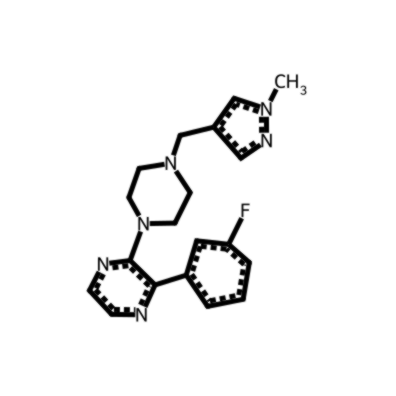 Cn1cc(CN2CCN(c3nccnc3-c3cccc(F)c3)CC2)cn1